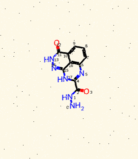 NNC(=O)C1=Nc2cccc3c(=O)[nH]nc(c23)N1